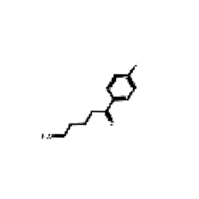 [CH2]CCCCC(=O)c1ccc(Cl)cc1